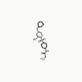 C=CC(=O)Nc1ccc(S(=O)(=O)N2CCN(Cc3ccccc3)C[C@@H]2C(C)C)cc1